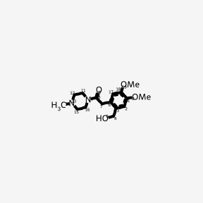 COc1cc(CO)c(CC(=O)N2CCN(C)CC2)cc1OC